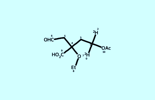 [2H]C([2H])(CC(CC=O)(OCC)C(=O)O)OC(C)=O